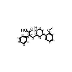 COc1ccccc1C1CCNC(CC(C(=O)O)c2ccccc2)C1